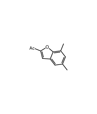 CC(=O)c1cc2cc(C)cc(C)c2o1